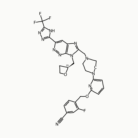 N#Cc1ccc(COc2cccc(N3CCN(Cc4nc5cc(-c6nnc(C(F)(F)F)[nH]6)nnc5n4C[C@@H]4CCO4)CC3)n2)c(F)c1